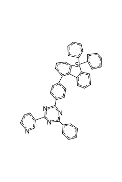 c1ccc(-c2nc(-c3ccc(-c4cccc5c4-c4ccccc4[Si]5(c4ccccc4)c4ccccc4)cc3)nc(-c3cccnc3)n2)cc1